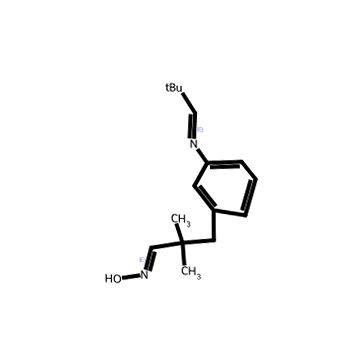 CC(C)(C)/C=N/c1cccc(CC(C)(C)/C=N/O)c1